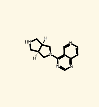 c1cc2ncnc(N3C[C@H]4CNC[C@H]4C3)c2cn1